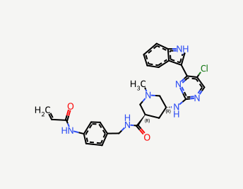 C=CC(=O)Nc1ccc(CNC(=O)[C@@H]2C[C@@H](Nc3ncc(Cl)c(-c4c[nH]c5ccccc45)n3)CN(C)C2)cc1